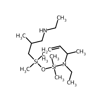 C=CC(C)N(CC)[Si](C)(C)O[Si](C)(C)CC(C)CNCC